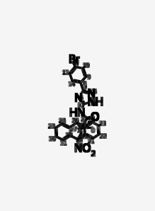 CC1(C(=O)Nc2nc(-c3ccc(Br)cc3)n[nH]2)CC2([N+](=O)[O-])c3ccccc3C1c1ccccc12